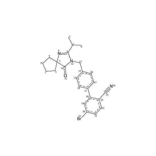 CC(C)C1=NC2(CCCC2)C(=O)N1Cc1ccc(-c2cc(Br)ccc2C#N)cc1